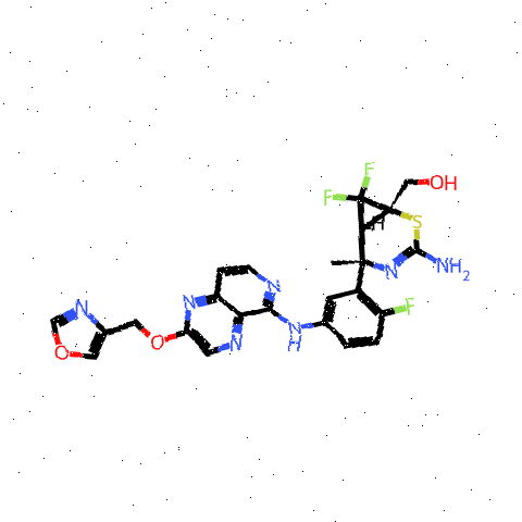 C[C@]1(c2cc(Nc3nccc4nc(OCc5cocn5)cnc34)ccc2F)N=C(N)S[C@]2(CO)[C@H]1C2(F)F